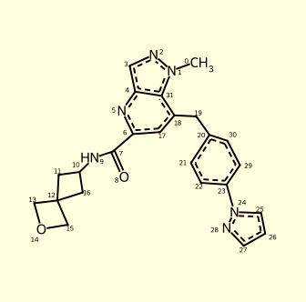 Cn1ncc2nc(C(=O)NC3CC4(COC4)C3)cc(Cc3ccc(-n4cccn4)cc3)c21